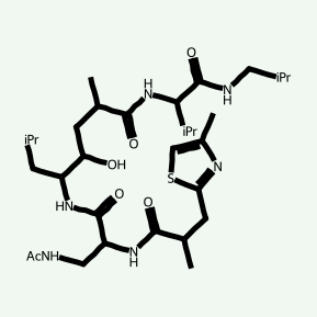 CC(=O)NCC(NC(=O)C(C)Cc1nc(C)cs1)C(=O)NC(CC(C)C)C(O)CC(C)C(=O)NC(C(=O)NCC(C)C)C(C)C